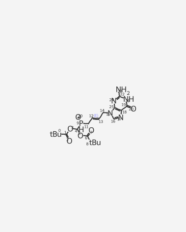 CC(C)(C)C(=O)OC(OC(=O)C(C)(C)C)[PH](=O)C/C=C/Cn1cnc2c(=O)[nH]c(N)nc21